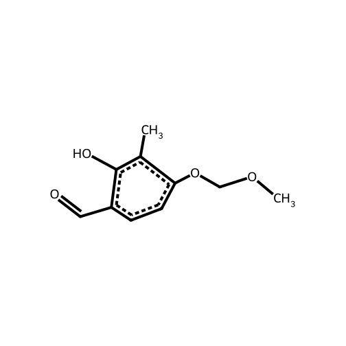 COCOc1ccc(C=O)c(O)c1C